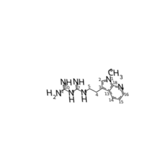 Cn1cc(CCNC(=N)NC(=N)N)c2cccnc21